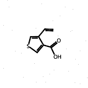 C=Cc1cscc1C(=O)O